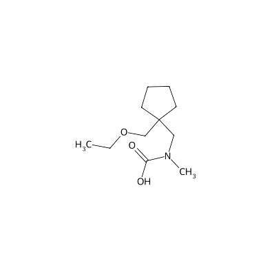 CCOCC1(CN(C)C(=O)O)CCCC1